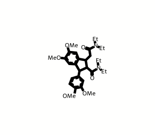 CCN(CC)C(=O)CC1c2cc(OC)c(OC)cc2C(c2ccc(OC)c(OC)c2)C1C(=O)N(CC)CC